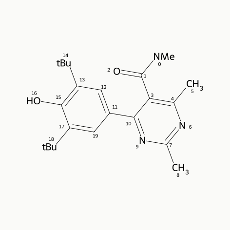 CNC(=O)c1c(C)nc(C)nc1-c1cc(C(C)(C)C)c(O)c(C(C)(C)C)c1